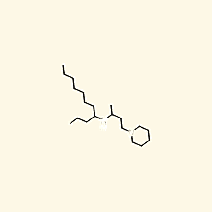 CCCCCCCC(CCC)NC(C)CCN1CCCCC1